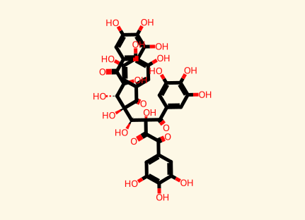 O=C(C(=O)[C@@](O)(C(=O)c1cc(O)c(O)c(O)c1)[C@@H](O)[C@@](O)(C(=O)c1cc(O)c(O)c(O)c1)[C@H](O)C(O)C(=O)c1cc(O)c(O)c(O)c1)c1cc(O)c(O)c(O)c1